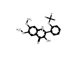 COc1cc2[nH]c(-c3ccccc3OC(F)(F)F)c(O)c(=O)c2cc1OC